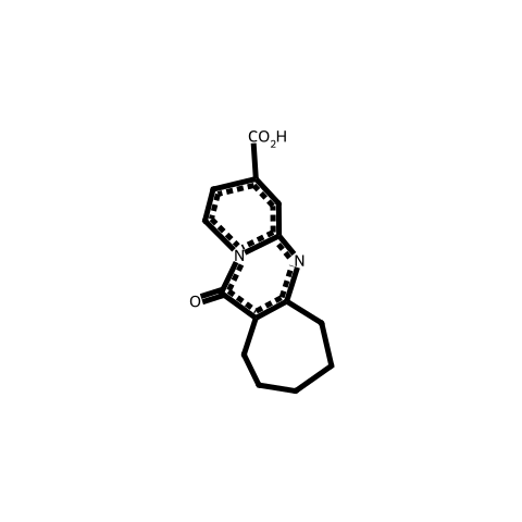 O=C(O)c1ccn2c(=O)c3c(nc2c1)CCCCC3